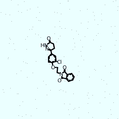 O=C1CCC(c2ccc(OCCN3C(=O)c4ccccc4C3=O)c(Cl)c2)=NN1